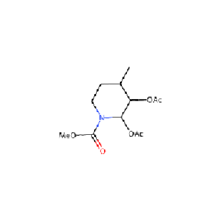 COC(=O)N1CCC(C)C(OC(C)=O)C1OC(C)=O